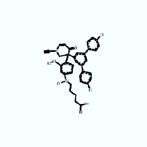 C#CN1C=CC(=O)C(c2cc(-c3ccc(Cl)cc3)cc(-c3ccc(Cl)cc3)c2)(c2ccc([S+]([O-])CCCCC(Br)Br)cc2OCC)C1